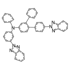 c1ccc(-c2cc(N(c3ccccc3)c3cccc(-n4nc5ccccc5n4)c3)ccc2-c2ccc(-n3nc4ccccc4n3)cc2)cc1